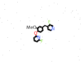 COc1cc(Cc2ccncc2F)ccc1Oc1cccc(F)n1